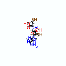 Nc1ncnc2c1ncn2[C@@H]1O[C@H](CN[C@@H](CCS)C(=O)O)[C@@H](O)[C@H]1S